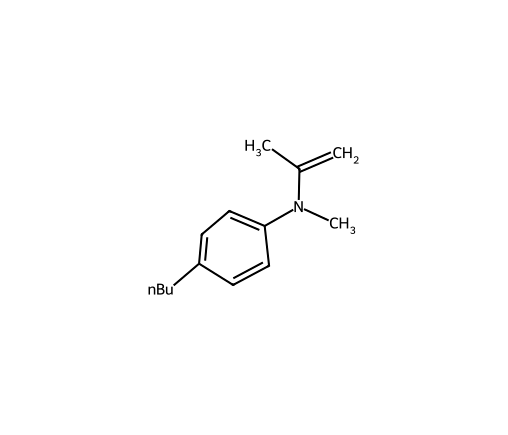 C=C(C)N(C)c1ccc(CCCC)cc1